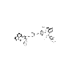 C#Cc1c(F)ccc2cc(O)cc(-c3ncc4c(N5C[C@H]6CC[C@@H](C5)N6)nc(N5CCC(OCCOc6ccc7c(c6)O[C@H](C)CN(Cc6cc(C(CC(=O)OCC)c8cc(OC)c9c(c8)nnn9C)ccc6C)S7(=O)=O)CC5)nc4c3F)c12